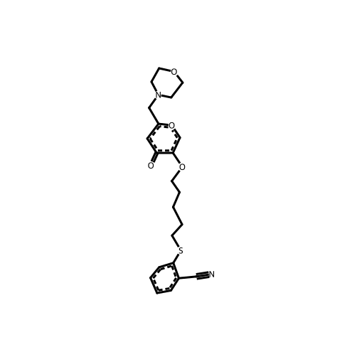 N#Cc1ccccc1SCCCCCOc1coc(CN2CCOCC2)cc1=O